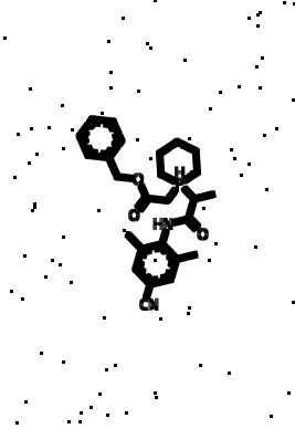 Cc1cc(C#N)cc(C)c1NC(=O)C(C)[PH]1(CC(=O)OCc2ccccc2)CCCCC1